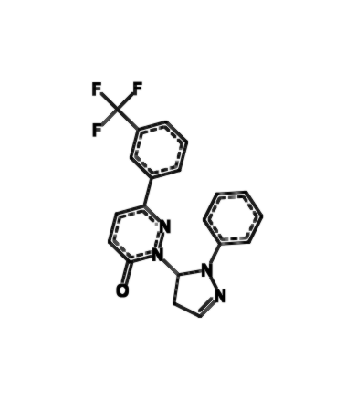 O=c1ccc(-c2cccc(C(F)(F)F)c2)nn1C1CC=NN1c1ccccc1